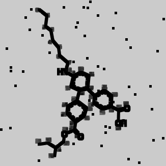 CCCCCCCCNc1ccc(-c2ccc(C(=O)O)cc2)c(-c2ccc(C(=O)OCC(C)CC)cc2)c1